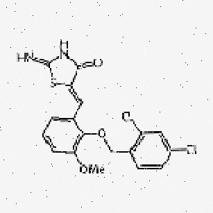 COc1cccc(/C=C2\SC(=N)NC2=O)c1OCc1ccc(Cl)cc1Cl